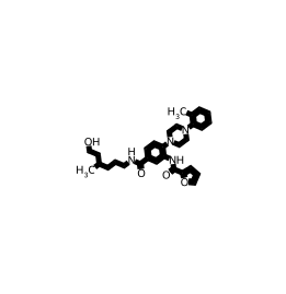 Cc1ccccc1N1CCN(c2ccc(C(=O)NCCCC(C)CCO)cc2NC(=O)c2ccco2)CC1